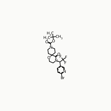 CC(C)(C)OC(=O)N1CCC2(CC1)OCCN(C(c1ccc(Br)nc1)C(F)(F)F)C2=O